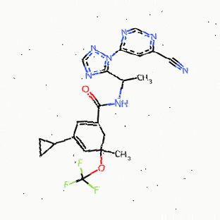 CC(NC(=O)C1=CC(C2CC2)=CC(C)(OC(F)(F)F)C1)c1ncnn1-c1cc(C#N)ncn1